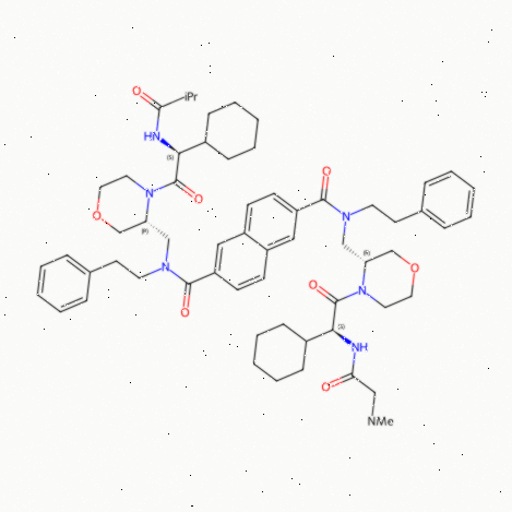 CNCC(=O)N[C@H](C(=O)N1CCOC[C@H]1CN(CCc1ccccc1)C(=O)c1ccc2cc(C(=O)N(CCc3ccccc3)C[C@@H]3COCCN3C(=O)[C@@H](NC(=O)C(C)C)C3CCCCC3)ccc2c1)C1CCCCC1